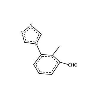 Cc1c(C=O)cccc1-n1cnnc1